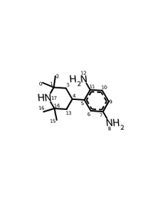 CC1(C)CC(c2cc(N)ccc2N)CC(C)(C)N1